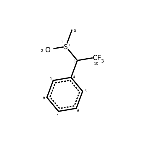 C[S+]([O-])C(c1ccccc1)C(F)(F)F